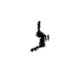 CCCCCCCCCCCCS(=O)(=O)Oc1cccc(NC(=O)Nc2cccc(OS(=O)(=O)CCCCCCCCCCCC)c2)c1